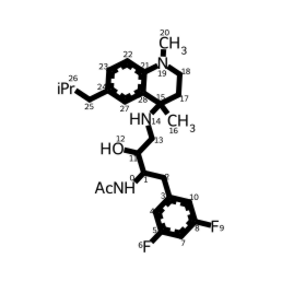 CC(=O)NC(Cc1cc(F)cc(F)c1)C(O)CNC1(C)CCN(C)c2ccc(CC(C)C)cc21